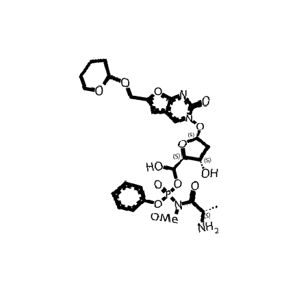 CON(C(=O)[C@H](C)N)P(=O)(Oc1ccccc1)OC(O)[C@H]1O[C@@H](On2cc3cc(COC4CCCCO4)oc3nc2=O)C[C@@H]1O